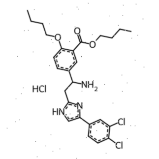 CCCCOC(=O)c1cc(C(N)Cc2nc(-c3ccc(Cl)c(Cl)c3)c[nH]2)ccc1OCCCC.Cl